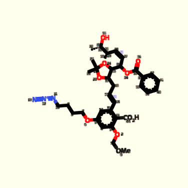 COCOc1cc(OCCCCN=[N+]=[N-])cc(/C=C/CC2OC(C)(C)OC2C(/C=C\[C@@H](C)[C@H](C)O)OC(=O)c2ccccc2)c1C(=O)O